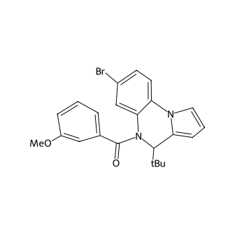 COc1cccc(C(=O)N2c3cc(Br)ccc3-n3cccc3C2C(C)(C)C)c1